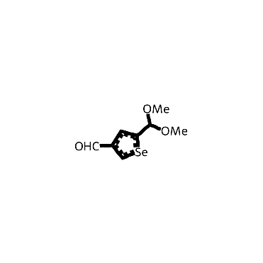 COC(OC)c1cc(C=O)c[se]1